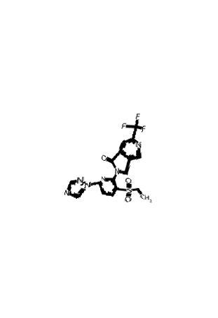 CCS(=O)(=O)c1ccc(-n2cncn2)nc1N1Cc2cnc(C(F)(F)F)cc2C1=O